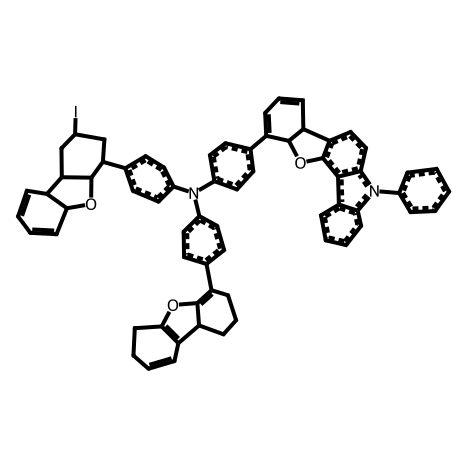 IC1CC(c2ccc(N(c3ccc(C4=CC=CC5c6ccc7c(c6OC45)c4ccccc4n7-c4ccccc4)cc3)c3ccc(C4=C5OC6=C(C=CCC6)C5CCC4)cc3)cc2)C2OC3C=CC=CC3C2C1